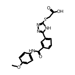 COc1ccc(NC(=O)c2cccc(-c3nnc(SCC(=O)O)[nH]3)c2)cc1